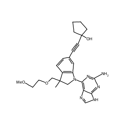 COCCOCC1(C)CN(c2nc(N)nc3[nH]cnc23)c2cc(C#CC3(O)CCCC3)ccc21